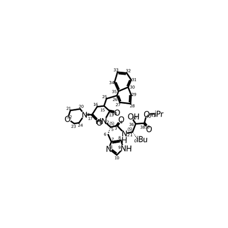 CCC(C)[C@H](NC(=O)[C@H](Cc1c[nH]cn1)NC(=O)C(CC(=O)N1CCOCC1)Cc1cccc2ccccc12)C(O)C(=O)OC(C)C